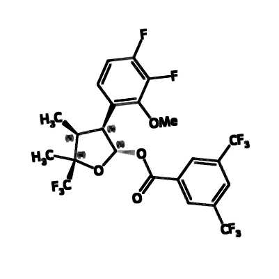 COc1c([C@H]2[C@H](OC(=O)c3cc(C(F)(F)F)cc(C(F)(F)F)c3)O[C@@](C)(C(F)(F)F)[C@H]2C)ccc(F)c1F